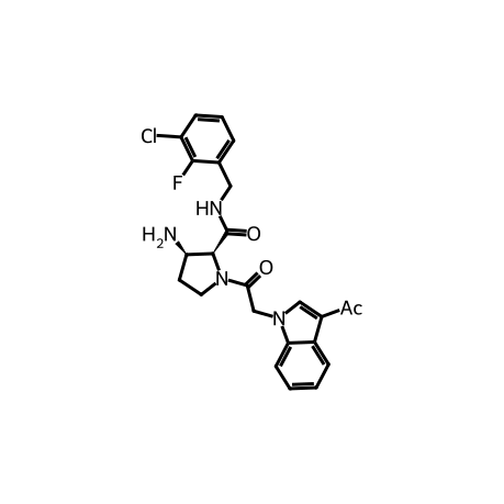 CC(=O)c1cn(CC(=O)N2CC[C@@H](N)[C@H]2C(=O)NCc2cccc(Cl)c2F)c2ccccc12